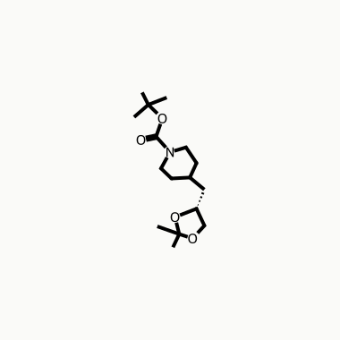 CC(C)(C)OC(=O)N1CCC(C[C@@H]2COC(C)(C)O2)CC1